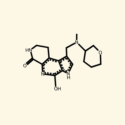 CN(Cc1c[nH]c2c(O)nc3c(c12)CCNC3=O)C1CCCOC1